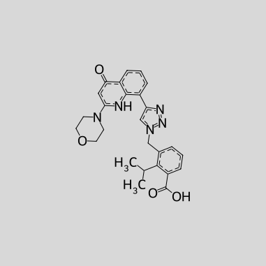 CC(C)c1c(Cn2cc(-c3cccc4c(=O)cc(N5CCOCC5)[nH]c34)nn2)cccc1C(=O)O